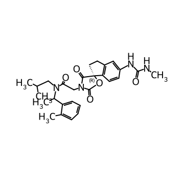 CNC(=O)Nc1ccc2c(c1)CC[C@@]21OC(=O)N(CC(=O)N(CC(C)C)C(C)c2ccccc2C)C1=O